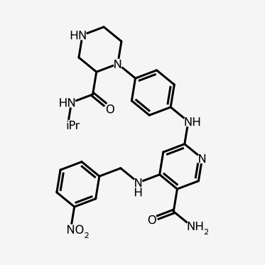 CC(C)NC(=O)C1CNCCN1c1ccc(Nc2cc(NCc3cccc([N+](=O)[O-])c3)c(C(N)=O)cn2)cc1